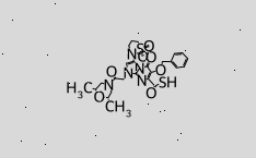 C[C@H]1CN(C(=O)Cn2cc(N3CCCS3(=O)=O)n3c(=O)c(OCc4ccccc4)c(C(=O)S)nc23)C[C@H](C)O1